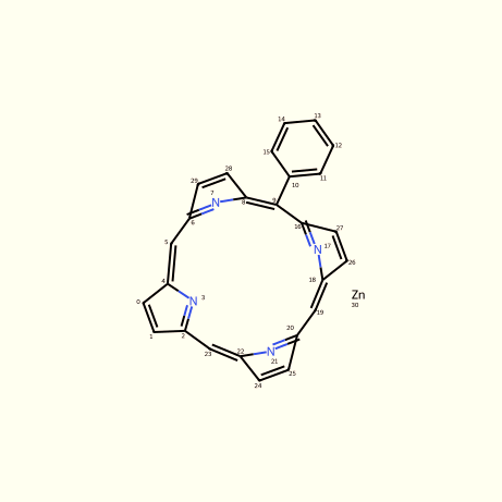 C1=CC2=NC1=CC1=NC(=C(c3ccccc3)C3=NC(=CC4=NC(=C2)C=C4)C=C3)C=C1.[Zn]